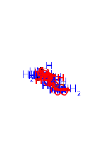 CC(C)C[C@H](N)C(=O)NCC(=O)NCC(=O)N[C@@H](C)C(=O)NCC(=O)N[C@@H](CS)C(=O)c1ccccc1N(CC=S)C(=O)[C@H](CO)NC(=O)[C@@H](NC(=O)[C@H](Cc1ccccc1)NC(=O)[C@@H](NC(=O)[C@H](CCCCN)NC(=O)[C@H](Cc1c[nH]c2ccccc12)NC(=O)[C@H](Cc1ccccc1)NC(=O)[C@H](C)N)[C@@H](C)O)[C@@H](C)O